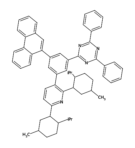 CC1CCC(C(C)C)C(c2ccc(-c3cc(-c4nc(-c5ccccc5)nc(-c5ccccc5)n4)cc(-c4cc5ccccc5c5ccccc45)c3)c(C3CC(C)CCC3C(C)C)n2)C1